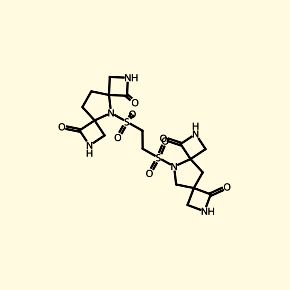 O=C1NCC12CN(S(=O)(=O)CCS(=O)(=O)N1C3(CCC14CNC4=O)CNC3=O)C1(CNC1=O)C2